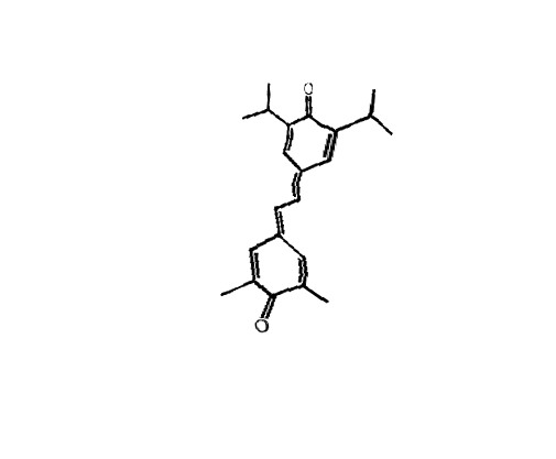 CC1=CC(=CC=C2C=C(C(C)C)C(=O)C(C(C)C)=C2)C=C(C)C1=O